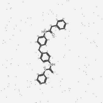 C=C(Nc1ccc(Cc2ccc(NC(=O)Cc3ccccc3)cc2)cc1)Sc1ccccc1